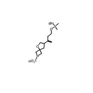 C=C(CCO[Si](C)(C)C(C)(C)C)C1COC2(C1)CN(C(=O)O)C2